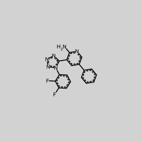 Nc1ncc(-c2ccccc2)cc1-c1nnnn1-c1cccc(F)c1F